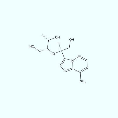 C[C@H](O)[C@@H](CO)O[C@@](C)(CO)c1ccc2c(N)ncnn12